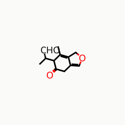 CC1=C2COC=C2CC(=O)C1C(C)C=O